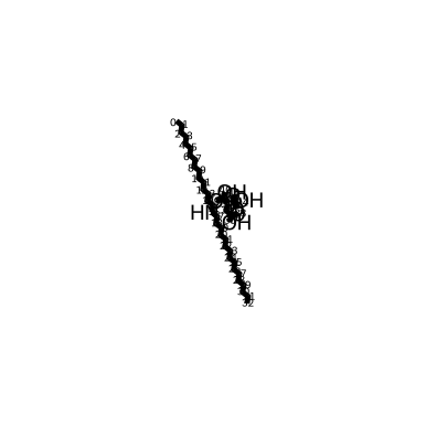 CCCCCCCCCCCCCCCCNCCCCCCCCCCCCCCCC.O=C(O)CC(C(=O)O)S(=O)(=O)O